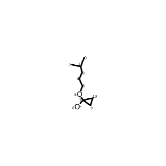 CC(C)CCCOC1([O])CC1